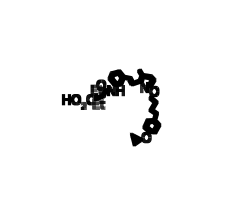 CCC(CC)(CC(=O)Nc1cccc(C=Cc2nc(OCCCCc3ccc(OC4CC4)cc3)ccc2C)c1)C(=O)O